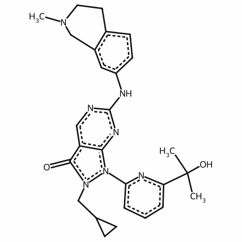 CN1CCc2ccc(Nc3ncc4c(=O)n(CC5CC5)n(-c5cccc(C(C)(C)O)n5)c4n3)cc2C1